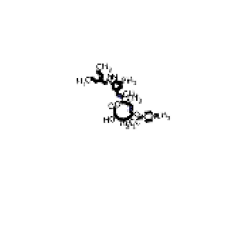 C=C(O[C@H]1/C=C/C(C)[C@@H](/C(C)=C/c2cc(P)c3nnn(CC(CCC)CCC)c3c2)OC(=O)CC(O)CCC1C)N1CCN(C)CC1